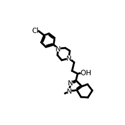 Cn1nc(C(O)CCN2CCN(c3ccc(Cl)cc3)CC2)c2c1CCCC2